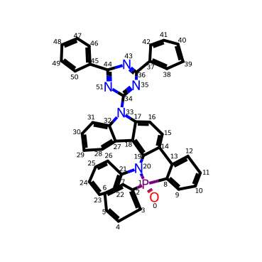 O=P1(c2ccccc2)c2ccccc2-c2ccc3c(c2N1c1ccccc1)c1ccccc1n3-c1nc(-c2ccccc2)nc(-c2ccccc2)n1